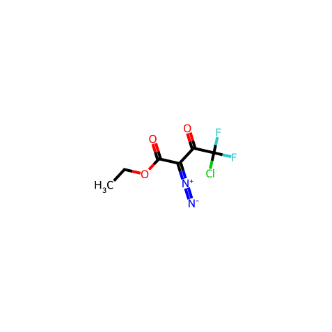 CCOC(=O)C(=[N+]=[N-])C(=O)C(F)(F)Cl